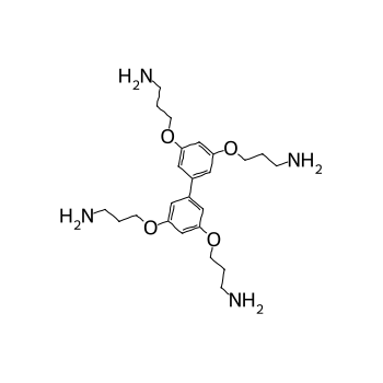 NCCCOc1cc(OCCCN)cc(-c2cc(OCCCN)cc(OCCCN)c2)c1